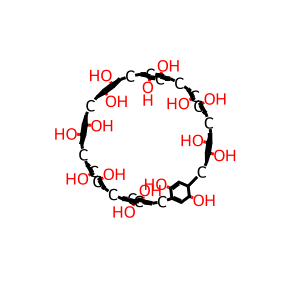 OC1=CC2CC3C=C(O)C(=CC3O)Cc3cc(O)c(cc3O)Cc3cc(O)c(cc3O)CC3=CC(O)C(C=C3O)CC3C=C(O)C(=CC3O)Cc3cc(O)c(cc3O)Cc3cc(O)c(cc3O)CC1=CC2O